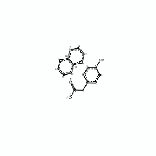 O=C(O)Cc1ccc(Cl)cc1.c1ccc2ncccc2c1